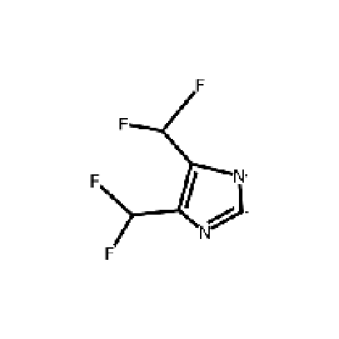 FC(F)C1=C(C(F)F)N=[C][N]1